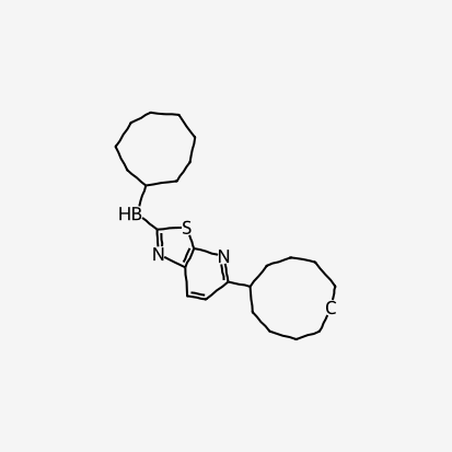 B(c1nc2ccc(C3CCCCCCCCC3)nc2s1)C1CCCCCCCC1